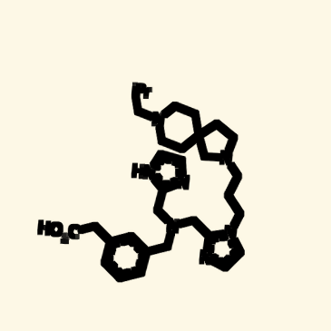 CC(C)CN1CCC2(CC1)CCN(CCCn1ccnc1CN(Cc1cccc(CC(=O)O)c1)Cc1ncc[nH]1)C2